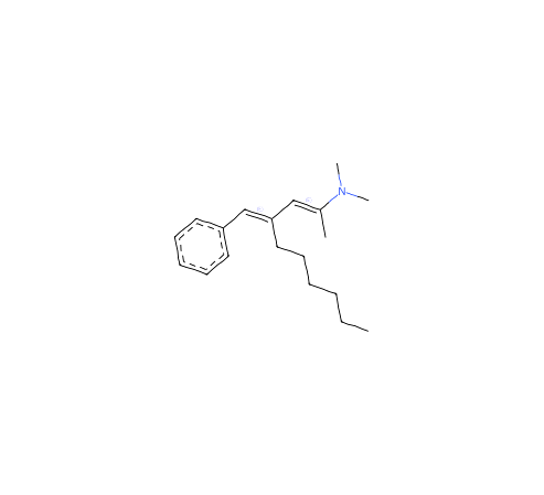 CCCCCCC(=C\c1ccccc1)/C=C(\C)N(C)C